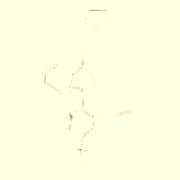 O=COc1cc(C(F)(F)F)ccc1-c1nnc(NC[C@@H]2CCCN2)c2cnccc12